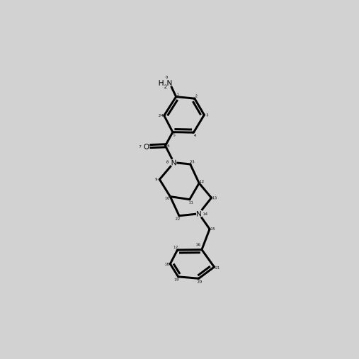 Nc1cccc(C(=O)N2CC3CC(CN(Cc4ccccc4)C3)C2)c1